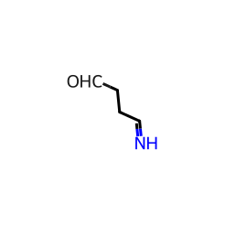 N=CCCC=O